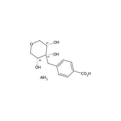 O=C(O)c1ccc(C[C@@]2(O)[C@H](O)COC[C@@H]2O)cc1.[AlH3]